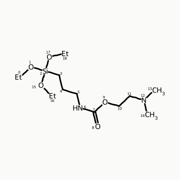 CCO[Si](CCCNC(=O)OCCN(C)C)(OCC)OCC